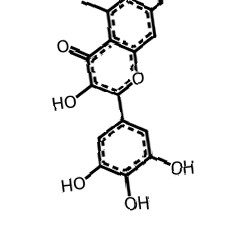 Cc1cc(O)cc2oc(-c3cc(O)c(O)c(O)c3)c(O)c(=O)c12